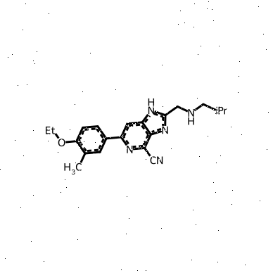 CCOc1ccc(-c2cc3[nH]c(CNCC(C)C)nc3c(C#N)n2)cc1C